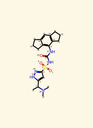 CC(c1cc(S(=O)(=O)NC(=O)Nc2c3c(cc4c2CCC4)CCC3)n[nH]1)N(C)C